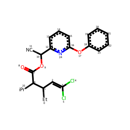 CCC(C=C(Cl)Cl)C(C(=O)OC(C#N)c1cccc(Oc2ccccc2)n1)C(C)C